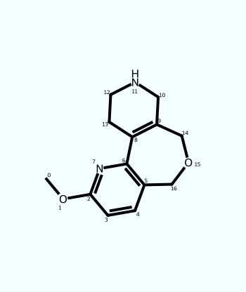 COc1ccc2c(n1)C1=C(CNCC1)COC2